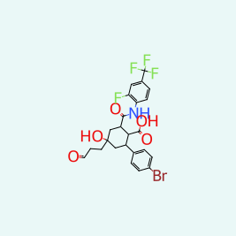 O=CCCC1(O)CC(C(=O)Nc2ccc(C(F)(F)F)cc2F)C(C(=O)O)C(c2ccc(Br)cc2)C1